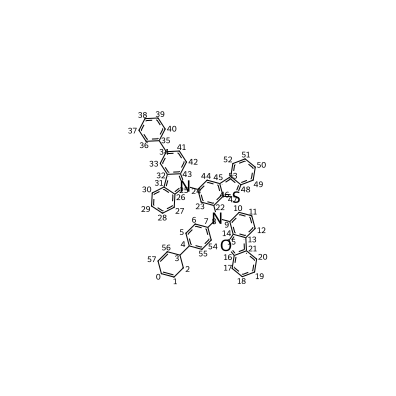 C1=CCC(c2ccc(N(c3cccc4c3oc3ccccc34)c3cc(-n4c5ccccc5c5cc(-c6ccccc6)ccc54)cc4c3sc3ccccc34)cc2)C=C1